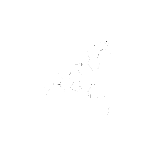 CO[C@@H]1CC[C@@H](NC(=O)c2cnn3c(N(C)C(=O)OC(C)(C)C)cc(Nc4cccn(-c5ocnc5C)c4=O)nc23)C1